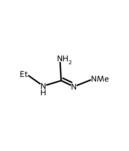 CCN/C(N)=N/NC